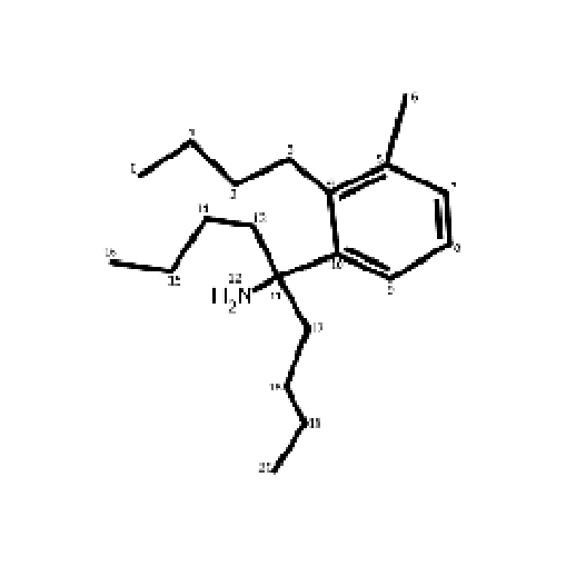 CCCCc1c(C)cccc1C(N)(CCCC)CCCC